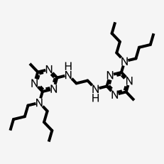 CCCCN(CCCC)c1nc(C)nc(NCCNc2nc(C)nc(N(CCCC)CCCC)n2)n1